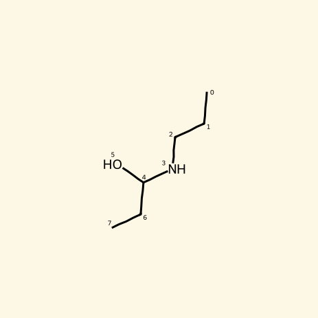 CCCNC(O)CC